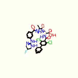 C/C(=N\C(=O)c1cccc(NC2=NCC(F)CN2)c1)C(=O)NC[C@@H](NC(=O)c1c(Cl)cc(-c2ccccc2)cc1Cl)C(=O)O